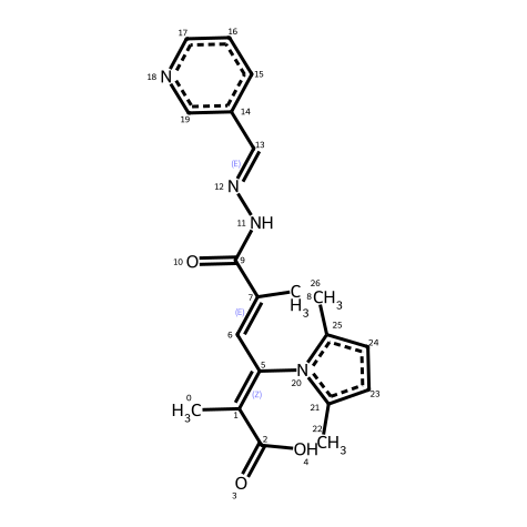 C/C(C(=O)O)=C(\C=C(/C)C(=O)N/N=C/c1cccnc1)n1c(C)ccc1C